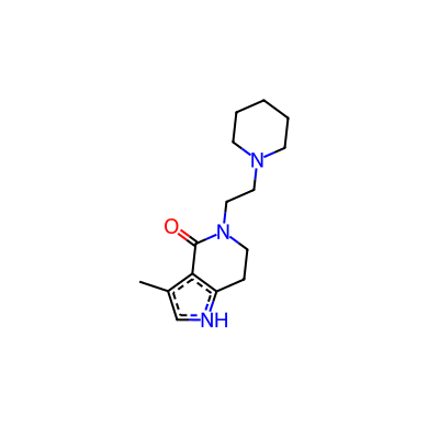 Cc1c[nH]c2c1C(=O)N(CCN1CCCCC1)CC2